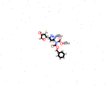 CC(C)(C)OC(=O)N(C(=O)OCc1ccccc1)c1cc([C@H]2OCC(=O)[C@@H]2F)nn1C(C)(C)C